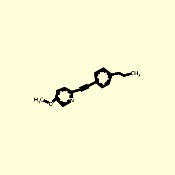 CCCc1ccc(C#Cc2ccc(OC)cn2)cc1